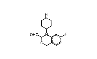 O=CC1OCc2ccc(F)cc2N1C1CCNCC1